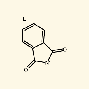 O=C1[N-]C(=O)c2ccccc21.[Li+]